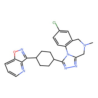 CN1Cc2cc(Cl)ccc2-n2c(nnc2C2CCC(c3noc4cccnc34)CC2)C1